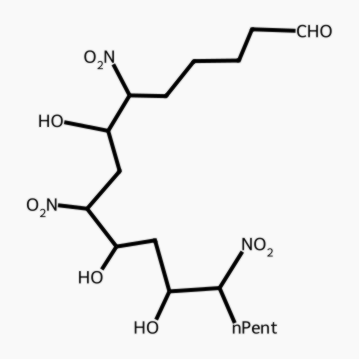 CCCCCC(C(O)CC(O)C(CC(O)C(CCCCC=O)[N+](=O)[O-])[N+](=O)[O-])[N+](=O)[O-]